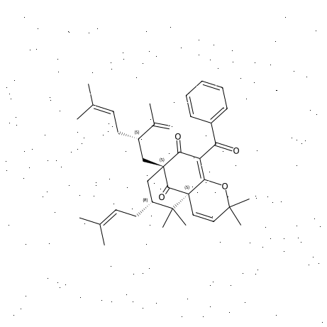 C=C(C)[C@@H](CC=C(C)C)C[C@@]12C[C@@H](CC=C(C)C)C(C)(C)[C@]3(C=CC(C)(C)OC3=C(C(=O)c3ccccc3)C1=O)C2=O